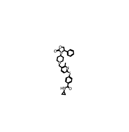 Cc1nc(Sc2ccc(C(=O)NC3CC3)cc2)ccc1CN1CCC(N2C(=O)OCC2c2ccccc2)CC1